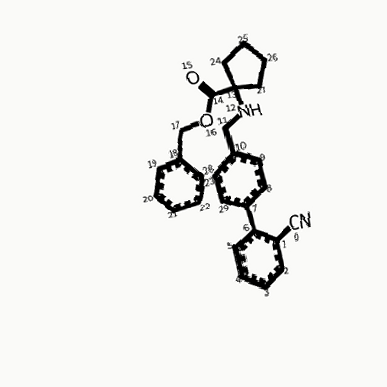 N#Cc1ccccc1-c1ccc(CNC2(C(=O)OCc3ccccc3)CCCC2)cc1